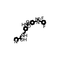 O=S(=O)(Nc1ccc(CCNCC(O)c2cccnc2)cc1)c1ccc(-c2noc(-c3cc(F)ccc3F)n2)cc1